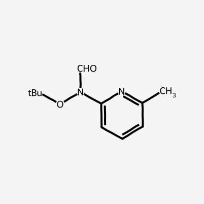 Cc1cccc(N(C=O)OC(C)(C)C)n1